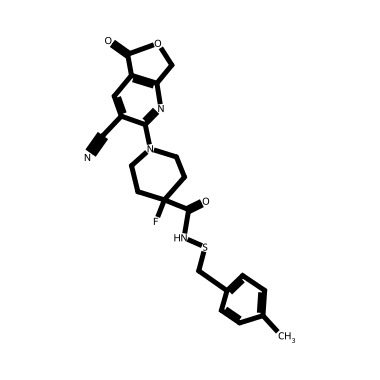 Cc1ccc(CSNC(=O)C2(F)CCN(c3nc4c(cc3C#N)C(=O)OC4)CC2)cc1